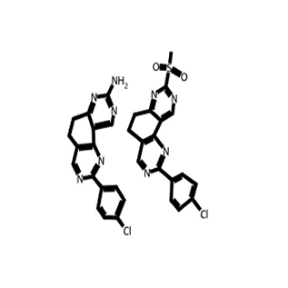 CS(=O)(=O)c1ncc2c(n1)CCc1cnc(-c3ccc(Cl)cc3)nc1-2.Nc1ncc2c(n1)CCc1cnc(-c3ccc(Cl)cc3)nc1-2